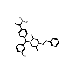 CCN(CC)C(=O)c1ccc(C(c2cccc(O)c2)N2CC(C)N(CCc3ccccc3)CC2C)cc1